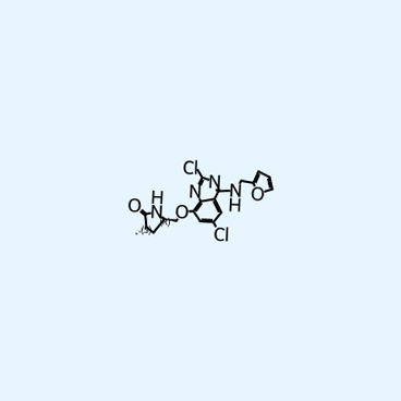 C[C@H]1C[C@H](COc2cc(Cl)cc3c(NCc4ccco4)nc(Cl)nc23)NC1=O